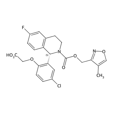 Cc1conc1COC(=O)N1CCc2cc(F)ccc2[C@H]1c1cc(Cl)ccc1OCC(=O)O